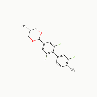 CCCC1COC(c2cc(F)c(-c3ccc(C(F)(F)F)c(F)c3)c(F)c2)OC1